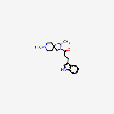 C[C@H]1SC2(CCN(C)CC2)CN1C(=O)CCc1c[nH]c2ccccc12